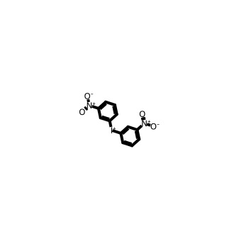 O=[N+]([O-])c1cccc([I+]c2cccc([N+](=O)[O-])c2)c1